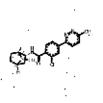 Cc1ccc(-c2ccc(C(=O)N[C@@H]3C[C@@H]4CC[C@H]3N4C#N)c(Cl)c2)nn1